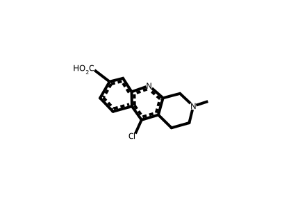 CN1CCc2c(nc3cc(C(=O)O)ccc3c2Cl)C1